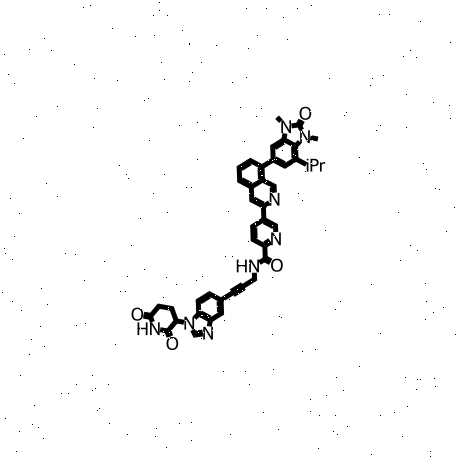 CC(C)c1cc(-c2cccc3cc(-c4ccc(C(=O)NCC#Cc5ccc6c(c5)ncn6C5CCC(=O)NC5=O)nc4)ncc23)cc2c1n(C)c(=O)n2C